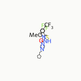 COc1ccc(C(F)(F)C(F)(F)F)cc1-c1csc(NC(=O)N2CCN(CCC3CCCC3)CC2)n1